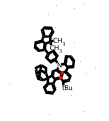 CC(C)(C)c1ccc(-c2ccccc2N(c2ccc(-c3cccc4c3C(C)(C)c3ccccc3-4)cc2)c2ccc3c(c2)C2(c4ccccc4-3)C3CC4CC(C3)CC2C4)cc1